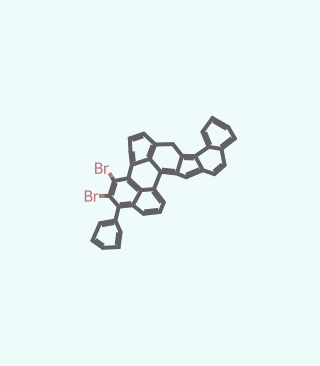 Brc1c(-c2ccccc2)c2cccc3c4c5c(cccc5c(c1Br)c23)CC1=c2c(ccc3ccccc23)=CC=41